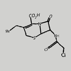 O=C(CCl)NC1C(=O)N2C(C(=O)O)=C(CBr)CSC12